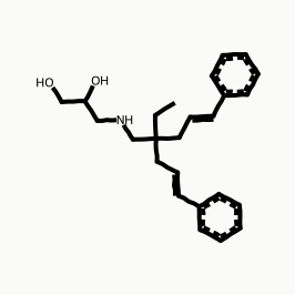 CCC(CC=Cc1ccccc1)(CC=Cc1ccccc1)CNCC(O)CO